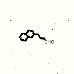 O=CC=CCc1ccc2ccccc2c1